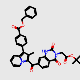 Cc1c(-c2ccc(C(=O)OCc3ccccc3)cc2)c2ccccn2c1C(=O)c1ccc2c(=O)n(CC(=O)OC(C)(C)C)c(=O)[nH]c2c1